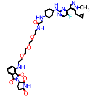 Cn1ncc(-c2nc(N[C@H]3CC[C@H](NCC(=O)NCCOCCOCCOCCNc4cccc5c4C(=O)N(C4CCC(=O)NC4=O)C5=O)CC3)ncc2F)c1CC1CC1